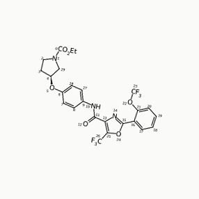 CCOC(=O)N1CC[C@H](Oc2ccc(NC(=O)c3nc(-c4ccccc4OC(F)(F)F)oc3C(F)(F)F)cc2)C1